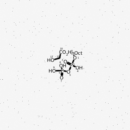 CCCCCCCCOP(=O)(O)OP(=O)(O)O.O=C(O)CO